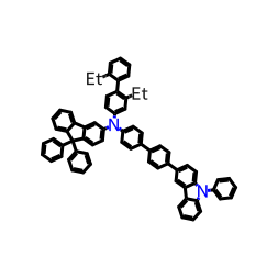 CCc1ccccc1-c1ccc(N(c2ccc(-c3ccc(-c4ccc5c(c4)c4ccccc4n5-c4ccccc4)cc3)cc2)c2ccc3c(c2)-c2ccccc2C3(c2ccccc2)c2ccccc2)cc1CC